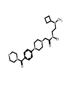 CCN(CCN(C)C1CCC1)C(=O)CN1CCN(c2ccc(C(=O)N3CCOCC3)cc2)CC1